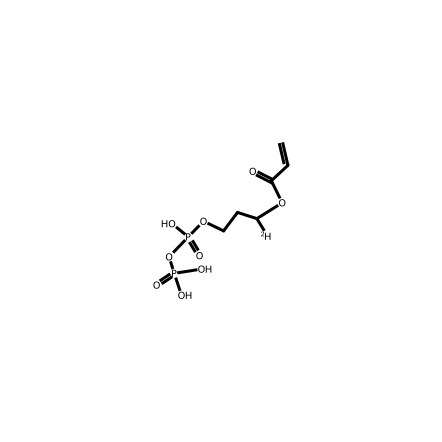 [2H]C(CCOP(=O)(O)OP(=O)(O)O)OC(=O)C=C